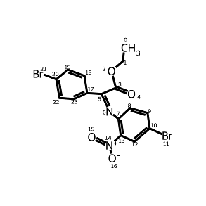 CCOC(=O)C(=Nc1ccc(Br)cc1[N+](=O)[O-])c1ccc(Br)cc1